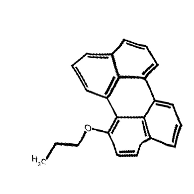 CCCOc1ccc2cccc3c4cccc5cccc(c1c23)c54